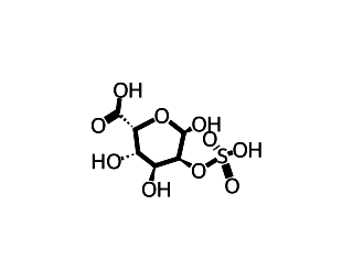 O=C(O)[C@@H]1O[C@@H](O)[C@@H](OS(=O)(=O)O)[C@@H](O)[C@@H]1O